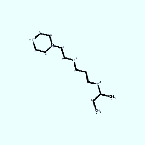 CCC(C)OCCCOCCN1CCOCC1